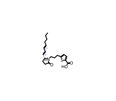 CCCC/C=C/C=C/[C@H]1CCC(=O)N1CCCc1ccc(C(=O)O)s1